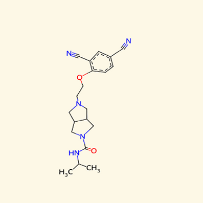 CC(C)NC(=O)N1CC2CN(CCOc3ccc(C#N)cc3C#N)CC2C1